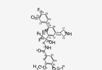 COc1cc(C(=O)NCC(O)(c2cc(C3CNC3)cc(-c3ccc(F)c(Cl)c3)n2)C(F)(F)F)ccc1OC1CC1